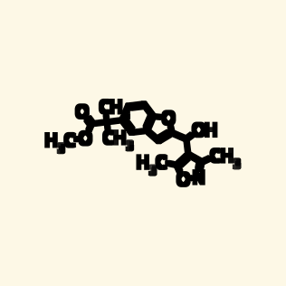 COC(=O)C(C)(C)c1ccc2oc(C(O)c3c(C)noc3C)cc2c1